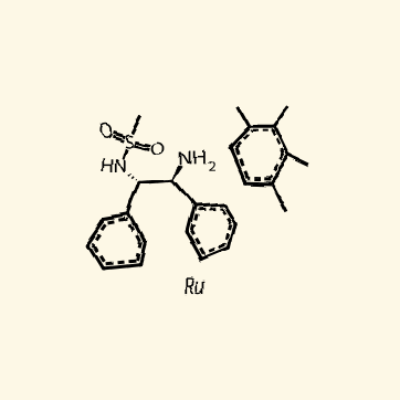 CS(=O)(=O)N[C@@H](c1ccccc1)[C@@H](N)c1ccccc1.Cc1ccc(C)c(C)c1C.[Ru]